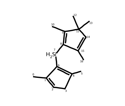 CC1=[C]CC(C)=C1[SiH2]C1=C(C)C(C)(C)[C]=C1C